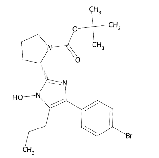 CCCc1c(-c2ccc(Br)cc2)nc([C@@H]2CCCN2C(=O)OC(C)(C)C)n1O